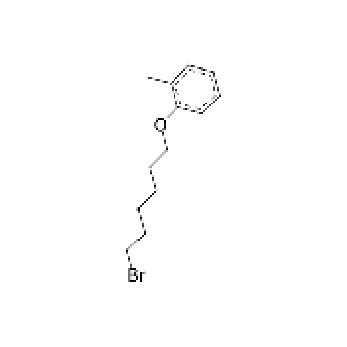 Cc1ccccc1OCCCCCCBr